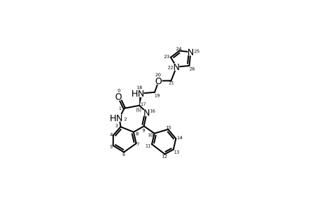 O=C1Nc2ccccc2C(c2ccccc2)=N[C@@H]1NCOCn1ccnc1